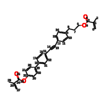 C=C(C)C(=O)OCCCc1ccc(C#Cc2ccc(-c3ccc(OC(=O)C(=C)C)cc3)cc2)cc1